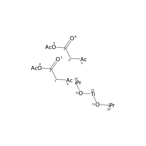 CC(=O)CC(=O)OC(C)=O.CC(=O)CC(=O)OC(C)=O.CC(C)[O][Ti][O]C(C)C